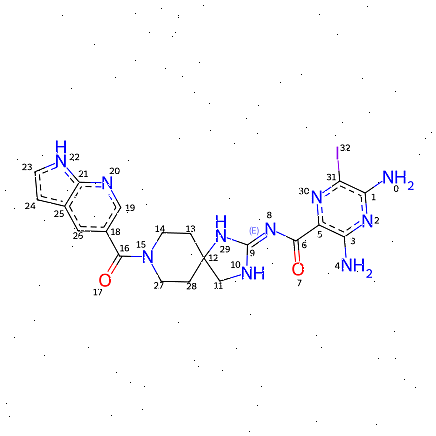 Nc1nc(N)c(C(=O)/N=C2\NCC3(CCN(C(=O)c4cnc5[nH]ccc5c4)CC3)N2)nc1I